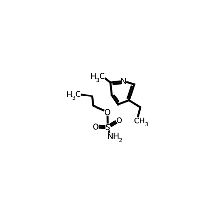 CCCOS(N)(=O)=O.CCc1ccc(C)nc1